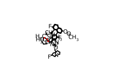 COCOc1cc(-c2ncc3c(N4CCCOCC4)nc(OCC45CCCN4CC(F)C5)nc3c2F)c2c(C#C[Si](C(C)C)(C(C)C)C(C)C)c(F)ccc2c1